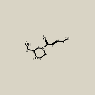 O=C(/C=C/CBr)N1CCO[C@@H](CO)C1